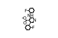 COC(=O)c1c(Nc2ccccc2F)cncc1-c1ccccc1F